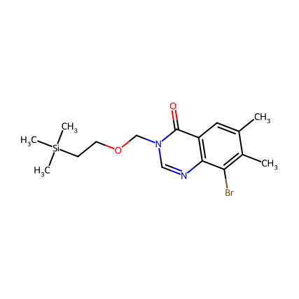 Cc1cc2c(=O)n(COCC[Si](C)(C)C)cnc2c(Br)c1C